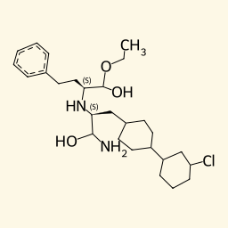 CCOC(O)[C@H](CCc1ccccc1)N[C@@H](CC1CCC(C2CCCC(Cl)C2)CC1)C(N)O